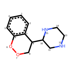 c1ccc2c(c1)OOCC2C1CNCCN1